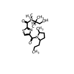 CCCC1CCC(C)N1C(=O)c1csc(C(=O)N(C)C(C)(C)CO)n1